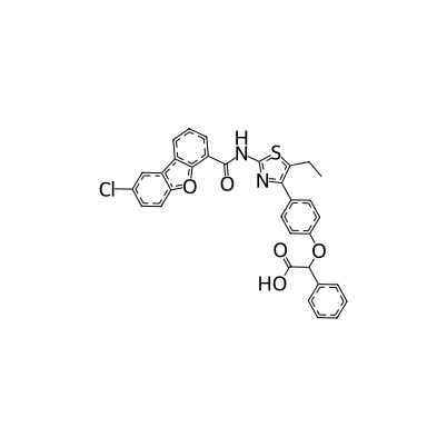 CCc1sc(NC(=O)c2cccc3c2oc2ccc(Cl)cc23)nc1-c1ccc(OC(C(=O)O)c2ccccc2)cc1